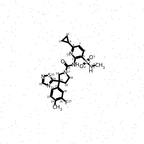 CNS(=O)(=O)c1ccc(C2CC2)nc1NC(=O)N1CCC(c2ccc(C)c(F)c2)(c2ncns2)C1